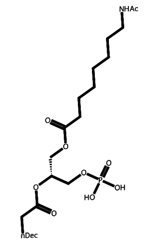 CCCCCCCCCCCC(=O)O[C@H](COC(=O)CCCCCCCNC(C)=O)COP(=O)(O)O